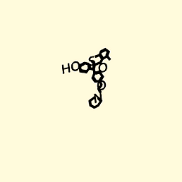 Cc1cccc(C)c1C(=O)c1sc2cc(O)ccc2c1-c1ccc(OCCN2CCCCCC2)cc1